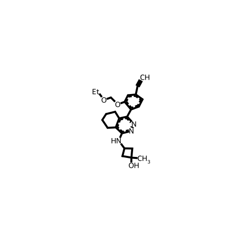 C#Cc1ccc(-c2nnc(NC3CC(C)(O)C3)c3c2CCCC3)c(OCOCC)c1